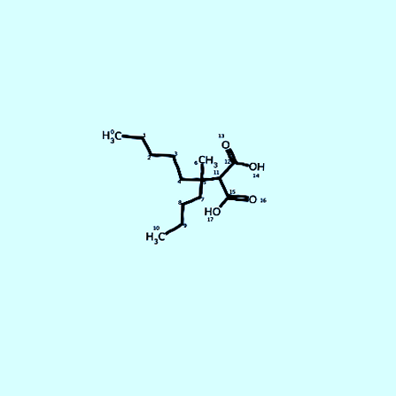 CCCCCC(C)(CCCC)C(C(=O)O)C(=O)O